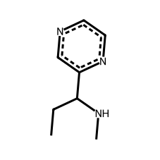 CCC(NC)c1cnccn1